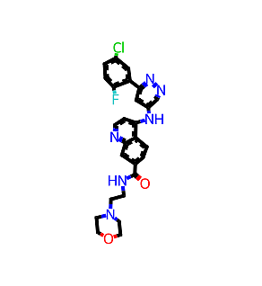 O=C(NCCN1CCOCC1)c1ccc2c(Nc3cnnc(-c4cc(Cl)ccc4F)c3)ccnc2c1